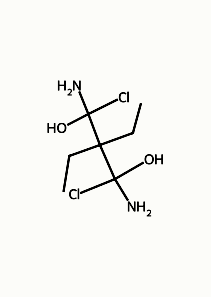 CCC(CC)(C(N)(O)Cl)C(N)(O)Cl